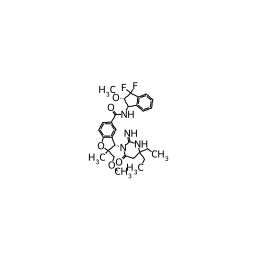 CCC1(CC)CC(=O)N([C@H]2c3cc(C(=O)N[C@@H]4c5ccccc5C(F)(F)[C@H]4OC)ccc3O[C@@]2(C)COC)C(=N)N1